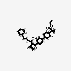 CCOC(=O)C1(c2ccc(-c3ccc(-c4onc(C)c4C(O)C/C=C/c4ccccc4)cc3)cc2)CC1